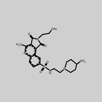 CC(=O)OCCN1C(=O)c2c(C)nc3ccc(S(=O)(=O)NCCN4CCC(C)CC4)cc3c2C1=O